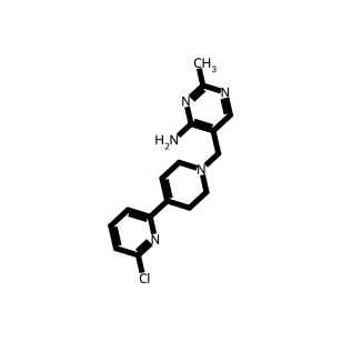 Cc1ncc(CN2CC=C(c3cccc(Cl)n3)CC2)c(N)n1